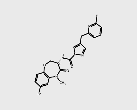 CN1C(=O)[C@@H](NC(=O)n2cc(Cc3cccc(F)n3)cn2)COc2ccc(Br)cc21